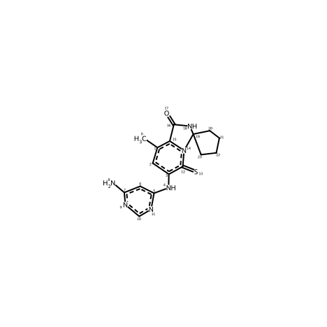 Cc1cc(Nc2cc(N)ncn2)c(=S)n2c1C(=O)NC21CCCC1